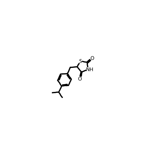 CC(C)c1ccc(CC2SC(=O)NC2=O)cc1